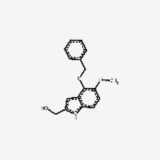 COc1ccc2[nH]c(CO)cc2c1OCc1ccccc1